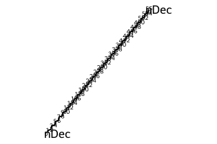 CCCCCCCCCCCCCCCCCCCCCCCCCCCCCCCCCCCCCCCCCCCCCCCCCCCCCCCCCCCCCCCCCCCCCCCCCC